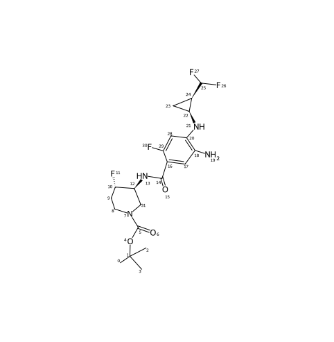 CC(C)(C)OC(=O)N1CC[C@H](F)[C@@H](NC(=O)c2cc(N)c(N[C@H]3C[C@H]3C(F)F)cc2F)C1